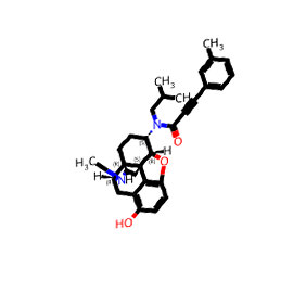 Cc1cccc(C#CC(=O)N(CC(C)C)[C@H]2CC[C@H]3[C@H]4Cc5c(O)ccc6c5[C@@]3(CCN4C)[C@H]2O6)c1